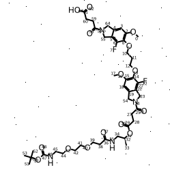 COc1cc2c(c(F)c1OCCCOc1c(OC)cc3c(c1F)CN(C(=O)CCC(=O)O[C@@H](C)CNC(=O)CCOCCOCCNC(=O)OC(C)(C)C)C3)CN(C(=O)CCC(=O)O)C2